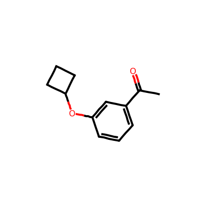 CC(=O)c1cccc(OC2CCC2)c1